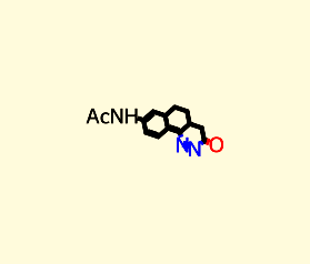 CC(=O)NC1=CC2CCC3CC(=O)N=NC3=C2C=C1